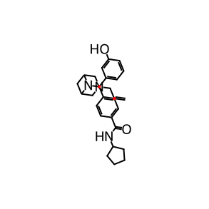 C=CCN1CC2CC(C1)N2C(c1ccc(C(=O)NC2CCCC2)cc1)c1cccc(O)c1